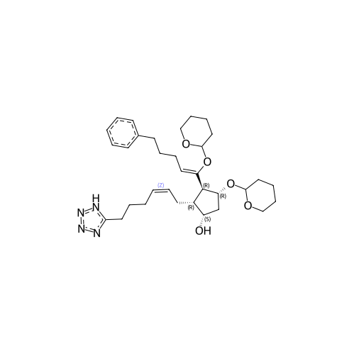 O[C@H]1C[C@@H](OC2CCCCO2)[C@H](C(=CCCCc2ccccc2)OC2CCCCO2)[C@H]1C/C=C\CCCc1nnn[nH]1